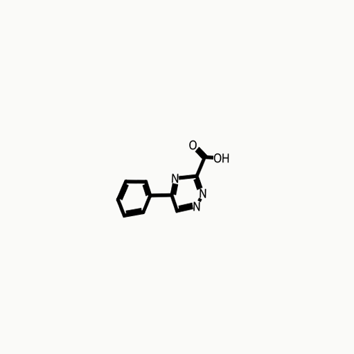 O=C(O)c1nncc(-c2ccccc2)n1